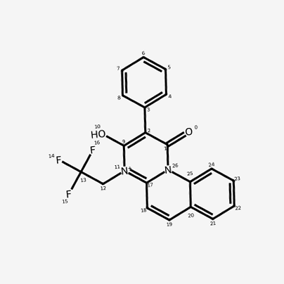 O=c1c(-c2ccccc2)c(O)[n+](CC(F)(F)F)c2ccc3ccccc3n12